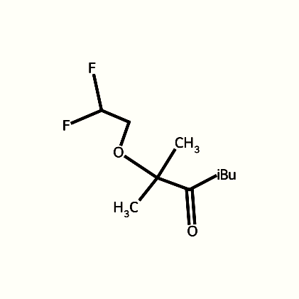 CCC(C)C(=O)C(C)(C)OCC(F)F